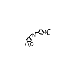 CCN(CC)c1ccc(C=NCc2ccc3c(c2)OCO3)cc1